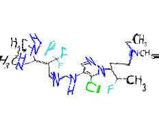 CCN(C)CCC(C(C)F)n1ncc(NC/N=C\C(=C(NC)NC)C(F)(F)F)c1Cl